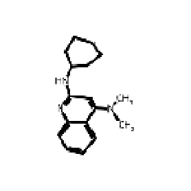 CN(C)c1cc(NC2CC[CH]CC2)nc2ccccc12